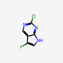 Fc1c[nH]c2nc(Cl)ncc12